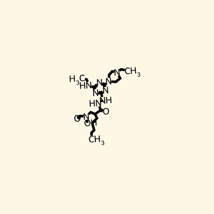 CCCCCC(CN(O)C=O)C(=O)NNc1nc(NCC)nc(N2CCN(CC)CC2)n1